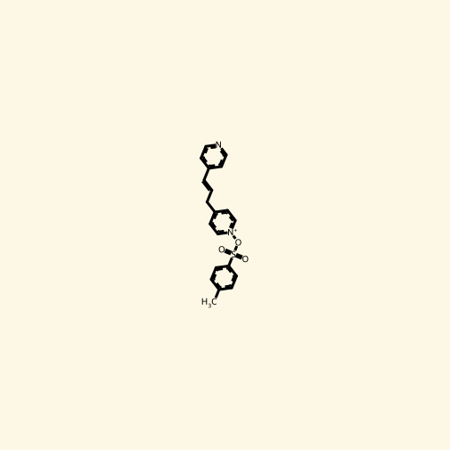 Cc1ccc(S(=O)(=O)O[n+]2ccc(CC=Cc3ccncc3)cc2)cc1